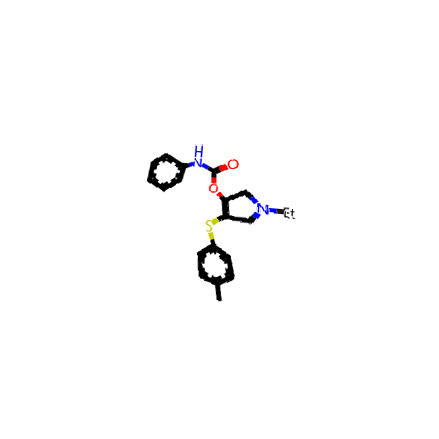 CCN1CC(OC(=O)Nc2ccccc2)C(Sc2ccc(C)cc2)C1